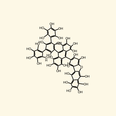 Oc1c(O)c(O)c(-c2c(O)c(-c3c(O)c(O)c(O)c(O)c3O)c(O)c(-c3c4c(O)c(O)c(O)c(O)c4c(-c4c(O)c(O)c5oc6c(O)c7c(O)c(O)c(O)c(O)c7c(O)c6c5c4O)c4c(O)c(O)c(O)c(O)c34)c2O)c(O)c1O